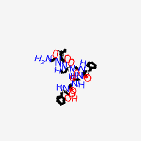 CC[C@H](C)[C@H](NC(=O)CN)C(=O)N1CCC[C@H]1C(=O)NCC(=O)N[C@@H](Cc1ccccc1)C(=O)NCC(=O)NCC(=O)N[C@@H](Cc1ccccc1)C(=O)O